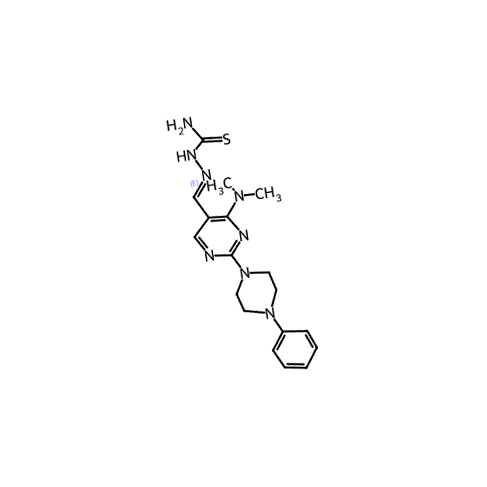 CN(C)c1nc(N2CCN(c3ccccc3)CC2)ncc1/C=N/NC(N)=S